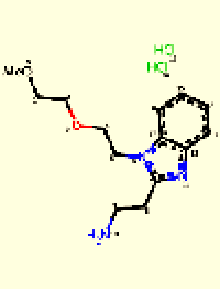 COCCOCCn1c(CCN)nc2ccccc21.Cl.Cl